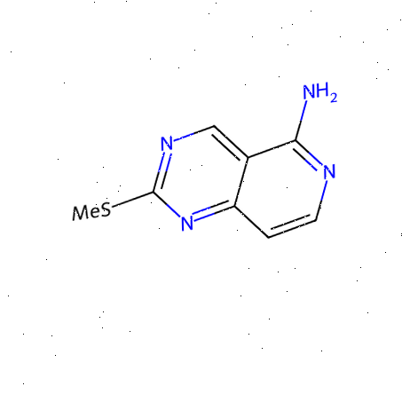 CSc1ncc2c(N)nccc2n1